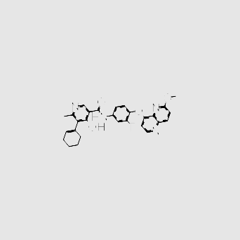 COc1ccc2nccc(Oc3ccc(NC(=O)c4cnc(C)c(C5=CCCCC5)c4O)cc3F)c2n1